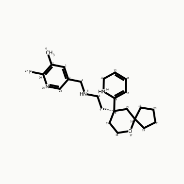 Cc1cc(CNCC[C@@]2(C3=CC=CCN3)CCOC3(CCCC3)C2)cnc1F